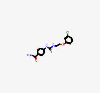 NC(=O)c1ccc(NC(=S)NCCOc2cccc(Cl)c2)cc1